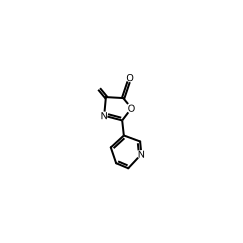 C=C1N=C(c2cccnc2)OC1=O